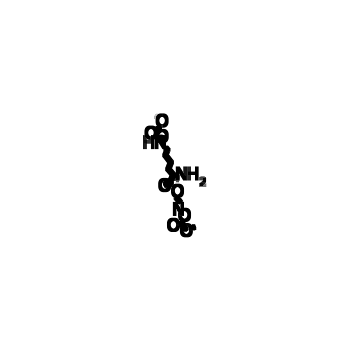 COC(=O)ON=CCOC(=O)[C@@H](N)CCCCNOC(=O)OC